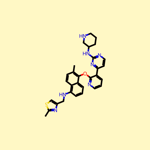 Cc1nc(CNc2cccc3c(Oc4ncccc4-c4ccnc(NC5CCCNC5)n4)c(C)ccc23)cs1